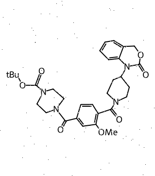 COc1cc(C(=O)N2CCN(C(=O)OC(C)(C)C)CC2)ccc1C(=O)N1CCC(N2C(=O)OCc3ccccc32)CC1